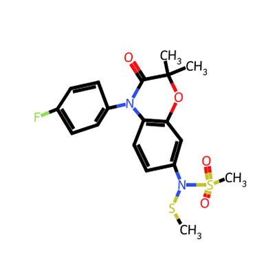 CSN(c1ccc2c(c1)OC(C)(C)C(=O)N2c1ccc(F)cc1)S(C)(=O)=O